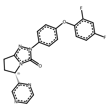 O=c1n(-c2ccc(Oc3ccc(F)cc3F)cc2)nc2n1[C@H](c1cnccn1)CC2